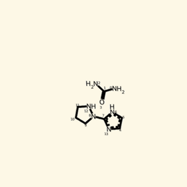 NC(N)=O.c1c[nH]c(N2CCCN2)n1